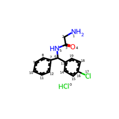 Cl.NCC(=O)NC(c1ccccc1)c1ccc(Cl)cc1